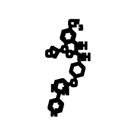 O=C(Nc1cc(C(F)(F)F)ccc1OC1COC1)N[C@H]1CC[C@H](Oc2ccnc(-c3ccncc3)n2)CC1